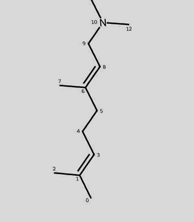 CC(C)=CCC/C(C)=C/CN(C)C